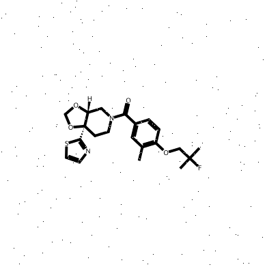 Cc1cc(C(=O)N2CC[C@@]3(c4nccs4)OCO[C@@H]3C2)ccc1OCC(C)(C)F